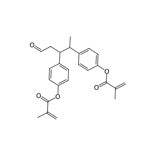 C=C(C)C(=O)Oc1ccc(C(C)C(CC=O)c2ccc(OC(=O)C(=C)C)cc2)cc1